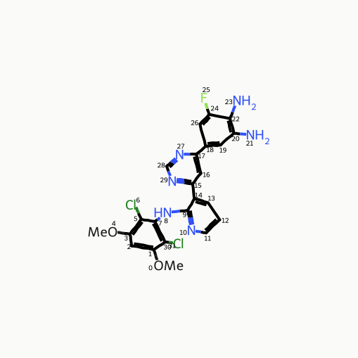 COc1cc(OC)c(Cl)c(Nc2ncccc2-c2cc(-c3cc(N)c(N)c(F)c3)ncn2)c1Cl